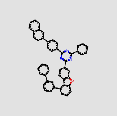 c1ccc(-c2cccc(-c3cccc4oc5cc(-c6nc(-c7ccccc7)nc(-c7ccc(-c8ccc9ccccc9c8)cc7)n6)ccc5c34)c2)cc1